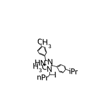 CCCC(I)N(C)/C(=N\C(=N)c1ccc(C)cc1)c1ccc(C(C)C)cc1